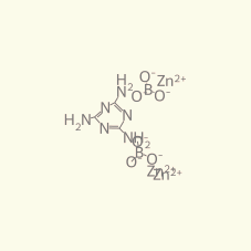 Nc1nc(N)nc(N)n1.[O-]B([O-])[O-].[O-]B([O-])[O-].[Zn+2].[Zn+2].[Zn+2]